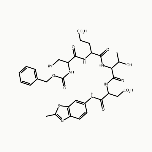 Cc1nc2ccc(NC(=O)C(CC(=O)O)NC(=O)C(NC(=O)C(CCC(=O)O)NC(=O)C(CC(C)C)NC(=O)OCc3ccccc3)C(C)O)cc2s1